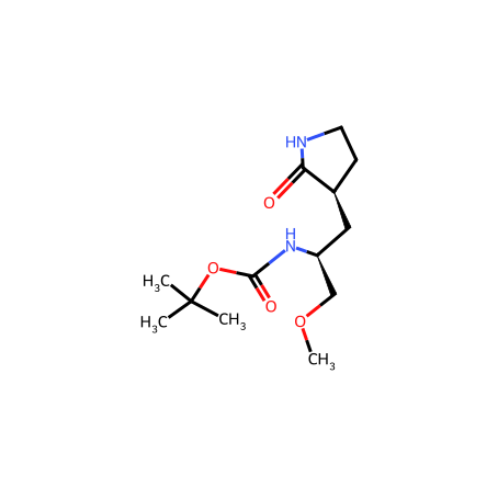 COC[C@H](C[C@@H]1CCNC1=O)NC(=O)OC(C)(C)C